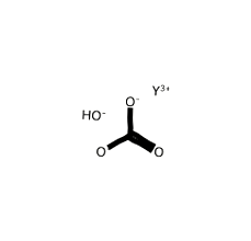 O=C([O-])[O-].[OH-].[Y+3]